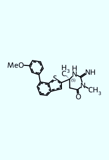 COc1cccc(-c2cccc3cc([C@]4(C)CC(=O)N(C)C(=N)N4)sc23)c1